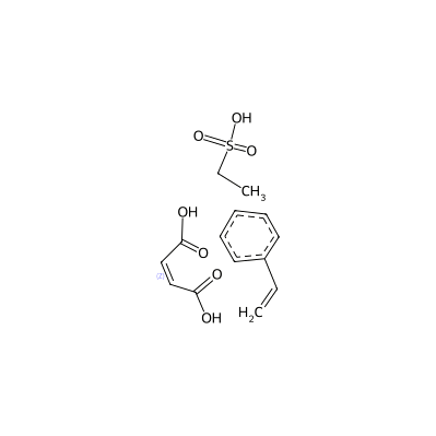 C=Cc1ccccc1.CCS(=O)(=O)O.O=C(O)/C=C\C(=O)O